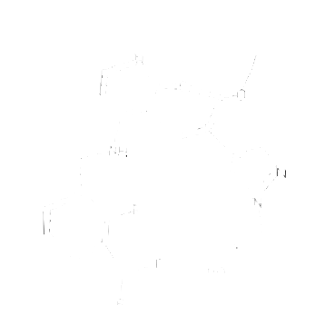 COc1cc2nccc(NCc3cccc(C(F)F)c3F)c2cc1-c1cnn(CC(C)(C)O)c1